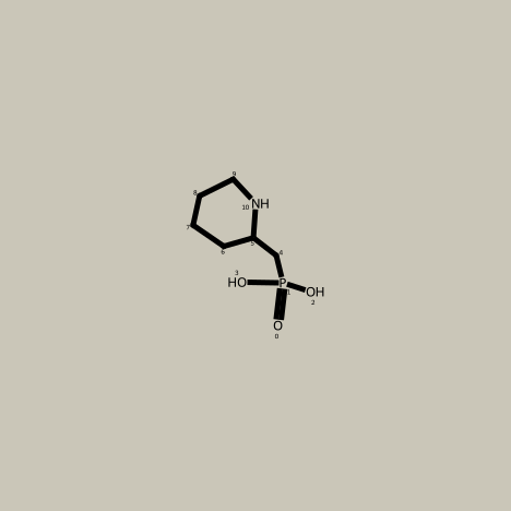 O=P(O)(O)CC1CCCCN1